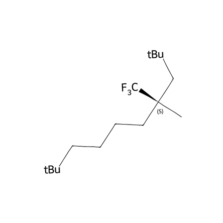 CC(C)(C)CCCC[C@@](C)(CC(C)(C)C)C(F)(F)F